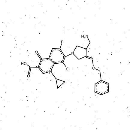 NCC1CN(c2c(F)cc3c(=O)c(C(=O)O)cn(C4CC4)c3c2Cl)C/C1=N\OCc1ccccc1